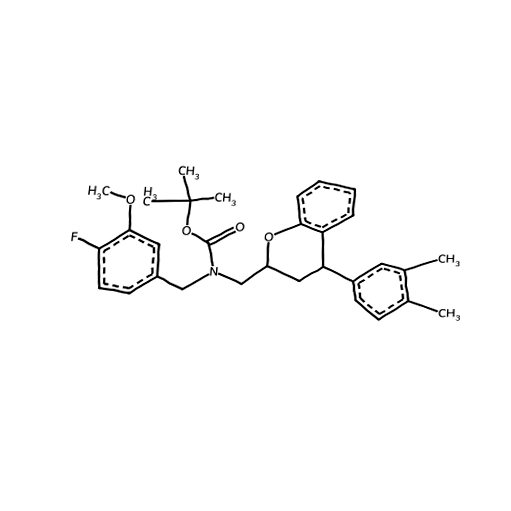 COc1cc(CN(CC2CC(c3ccc(C)c(C)c3)c3ccccc3O2)C(=O)OC(C)(C)C)ccc1F